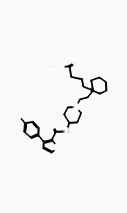 COC(=O)CCCC1(CCN2CCC(NC(=O)c3occc3-c3ccc(C)cc3)CC2)CCCCC1